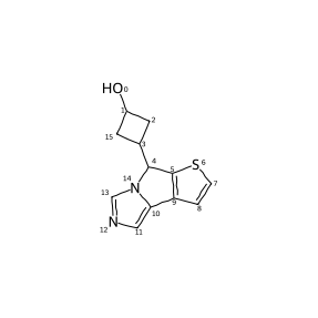 OC1CC(C2c3sccc3-c3cncn32)C1